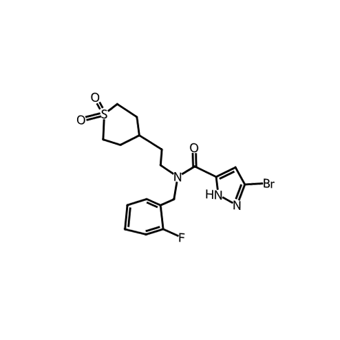 O=C(c1cc(Br)n[nH]1)N(CCC1CCS(=O)(=O)CC1)Cc1ccccc1F